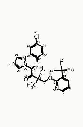 CC(C)(COc1ncccc1C(F)(F)F)C(=O)C(Oc1ccc(Cl)cc1)n1cncn1